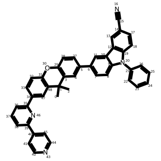 CC1(C)c2cc(-c3ccc4c(c3)c3cc(C#N)ccc3n4-c3ccccc3)ccc2Oc2ccc(-c3cccc(-c4ccncc4)n3)cc21